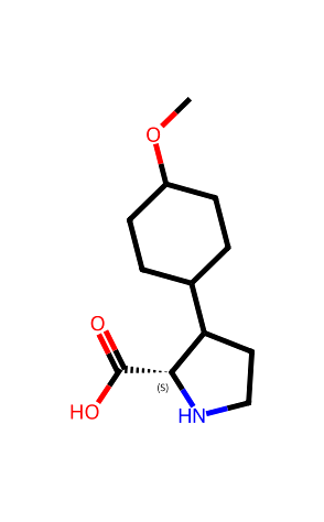 COC1CCC(C2CCN[C@@H]2C(=O)O)CC1